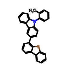 Cc1ccccc1-n1c2ccccc2c2cc(-c3cccc4c3sc3ccccc34)ccc21